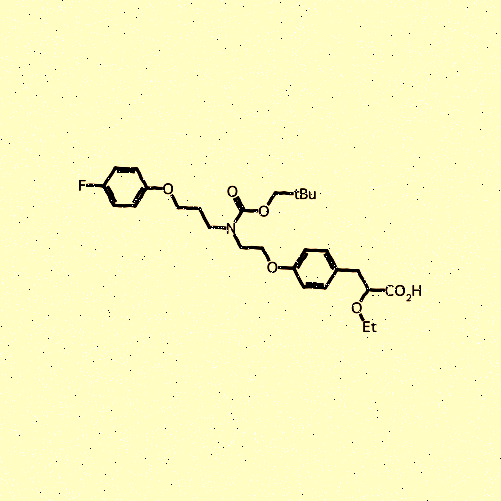 CCOC(Cc1ccc(OCCN(CCCOc2ccc(F)cc2)C(=O)OCC(C)(C)C)cc1)C(=O)O